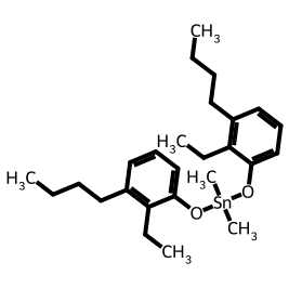 CCCCc1cccc([O][Sn]([CH3])([CH3])[O]c2cccc(CCCC)c2CC)c1CC